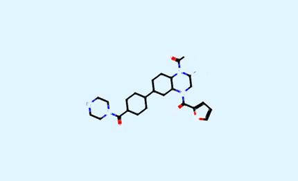 CC(=O)N1C2CCC(C3CCC(C(=O)N4CCNCC4)CC3)CC2N(C(=O)c2ccco2)C[C@@H]1C